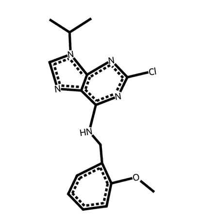 COc1ccccc1CNc1nc(Cl)nc2c1ncn2C(C)C